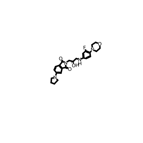 O=C1c2ccc(N3CCCC3)cc2C(=O)N1C[C@H](O)CNc1ccc(N2CCOCC2)c(F)c1